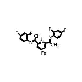 CC(=Nc1ccc(F)cc1F)c1cccc(C(C)=Nc2ccc(F)cc2F)n1.[Fe]